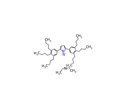 CCCCc1cc(C2=CC=C(c3cc(CCCC)c(CCCC)c(CCCC)c3)[N+]2=[N-])cc(CCCC)c1CCCC.C[CH2][Ni][CH2]C